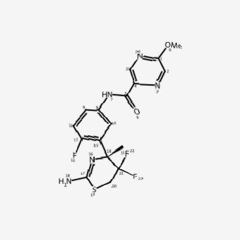 COc1cnc(C(=O)Nc2ccc(F)c([C@@]3(C)N=C(N)SCC3(F)F)c2)cn1